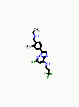 CCNCc1ccc(-c2cnc3c(NCCC(F)(F)F)cc(Br)nn23)cc1C